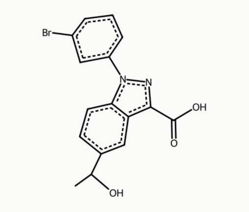 CC(O)c1ccc2c(c1)c(C(=O)O)nn2-c1cccc(Br)c1